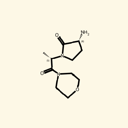 C[C@@H](C(=O)N1CCOCC1)N1CC[C@@H](N)C1=O